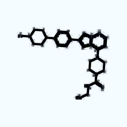 CC(C)N1CCC(c2ccc(-c3cc4c(N5CCN(C(=O)NCC(C)(C)C)CC5)ccnn4c3)cc2)CC1